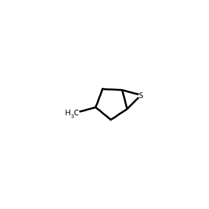 CC1CC2SC2C1